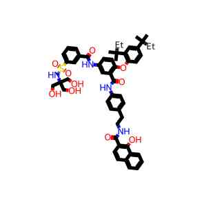 CCC(C)(C)c1ccc(Oc2ccc(NC(=O)c3cccc(S(=O)(=O)NC(CO)(CO)CO)c3)cc2C(=O)Nc2ccc(CCNC(=O)c3ccc4ccccc4c3O)cc2)c(C(C)(C)CC)c1